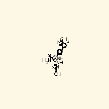 C#Cc1nc(NC(=O)N[C@@H](COC(N)=O)c2ccc(C3=CCCc4c3cnn4C)cc2)cs1